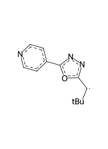 CC(C)(C)[CH]c1nnc(-c2ccncc2)o1